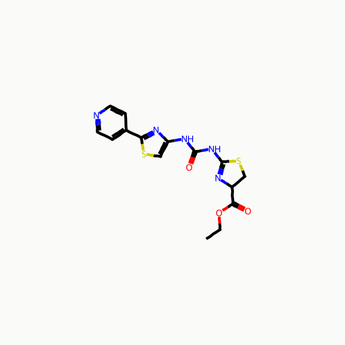 CCOC(=O)C1CSC(NC(=O)Nc2csc(-c3ccncc3)n2)=N1